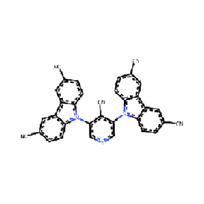 N#Cc1ccc2c(c1)c1cc(C#N)ccc1n2-c1cncc(-n2c3ccc(C#N)cc3c3cc(C#N)ccc32)c1C#N